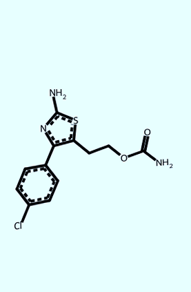 NC(=O)OCCc1sc(N)nc1-c1ccc(Cl)cc1